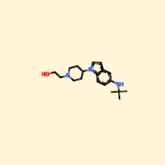 CC(C)(C)Nc1ccc2c(ccn2C2CCN(CCO)CC2)c1